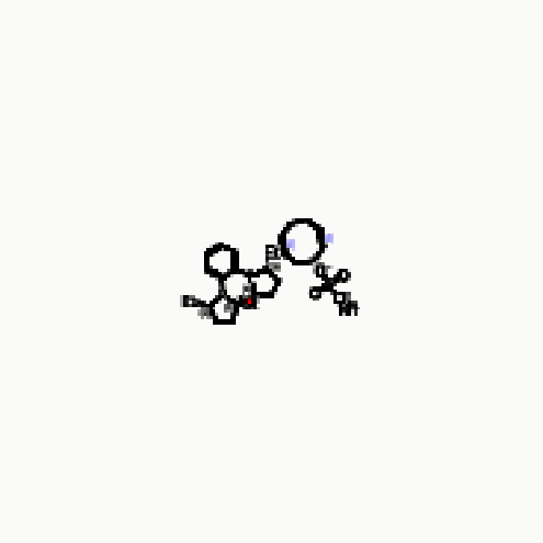 C1=C\CC/C=C\CC/1.CC[C@@H]1CC[C@@H](CC)P1c1ccccc1P1[C@H](CC)CC[C@H]1CC.O=S(=O)([O-])C(F)(F)F.[Rh]